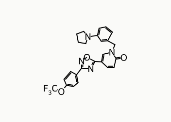 O=c1ccc(-c2nc(-c3ccc(OC(F)(F)F)cc3)no2)cn1Cc1cccc(N2CCCC2)c1